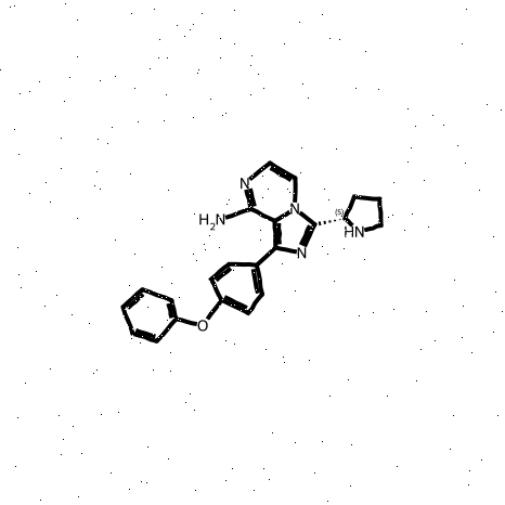 Nc1nccn2c([C@@H]3CCCN3)nc(-c3ccc(Oc4ccccc4)cc3)c12